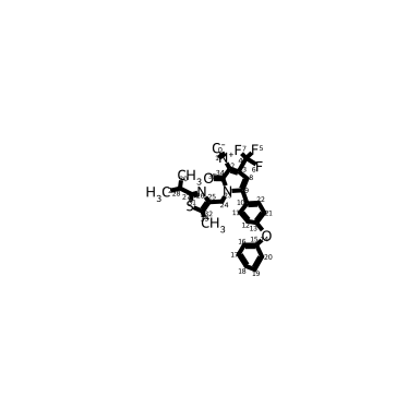 [C-]#[N+]c1c(C(F)(F)F)cc(-c2ccc(Oc3ccccc3)cc2)n(Cc2nc(C(C)C)sc2C)c1=O